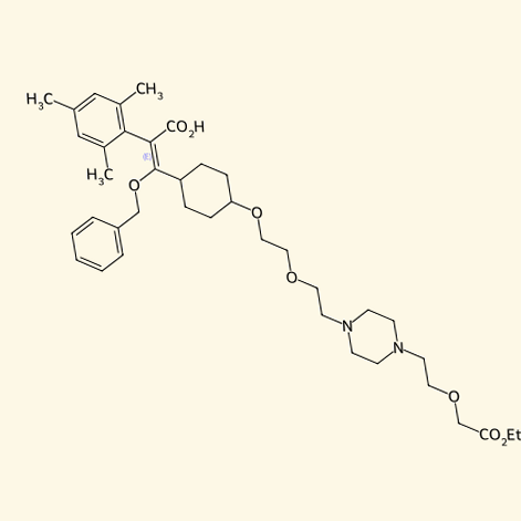 CCOC(=O)COCCN1CCN(CCOCCOC2CCC(/C(OCc3ccccc3)=C(\C(=O)O)c3c(C)cc(C)cc3C)CC2)CC1